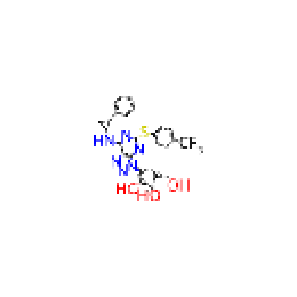 OC[C@@H]1C[C@H](n2nnc3c(NC4CC4c4ccccc4)nc(Sc4ccc(C(F)(F)F)cc4)nc32)[C@@H](O)[C@H]1O